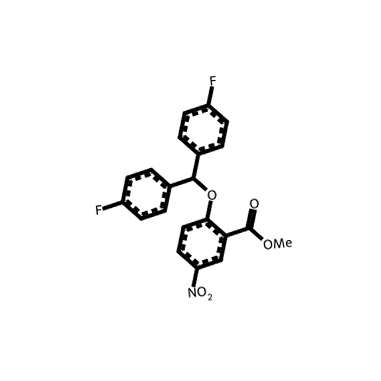 COC(=O)c1cc([N+](=O)[O-])ccc1OC(c1ccc(F)cc1)c1ccc(F)cc1